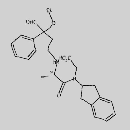 CCOC(C=O)(CCN[C@@H](C)C(=O)N(CC(=O)O)C1Cc2ccccc2C1)c1ccccc1